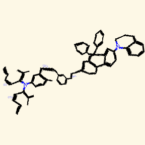 C=C/C=C\C(=C(C)C)N(C(/C=C\C=C)=C(C)C)c1ccc(C)c(/C=C\c2cccc(/C=C/c3ccc4c(c3)C(c3ccccc3)(c3ccccc3)c3cc(N5CCCc6ccccc65)ccc3-4)c2)c1